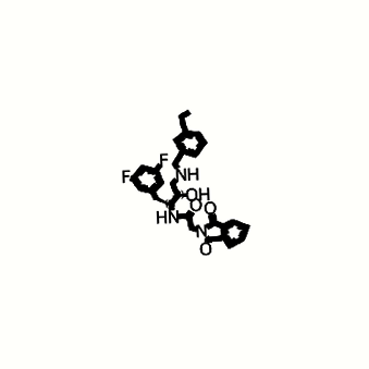 CCc1cccc(CNC[C@@H](O)[C@H](Cc2cc(F)cc(F)c2)NC(=O)CN2C(=O)c3ccccc3C2=O)c1